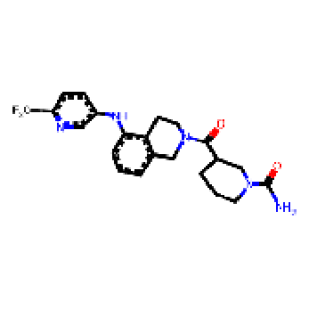 NC(=O)N1CCCC(C(=O)N2CCc3c(cccc3Nc3ccc(C(F)(F)F)nc3)C2)C1